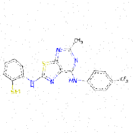 Cc1nc(Nc2ccc(C(F)(F)F)cc2)c2nc(Nc3ccccc3S)sc2n1